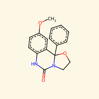 COc1ccc2c(c1)C1(c3ccccc3)OCCN1C(=O)N2